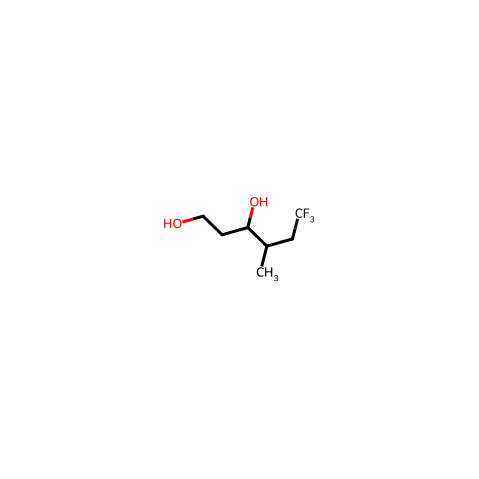 CC(CC(F)(F)F)C(O)CCO